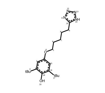 CC(C)(C)c1cc(OCCCCCc2nnn[nH]2)cc(C(C)(C)C)c1O